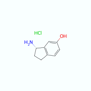 Cl.N[C@H]1CCc2ccc(O)cc21